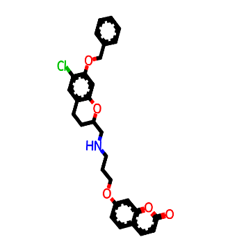 O=c1ccc2ccc(OCCCNCC3CCc4cc(Cl)c(OCc5ccccc5)cc4O3)cc2o1